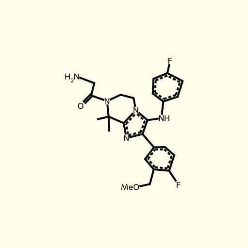 COCc1cc(-c2nc3n(c2Nc2ccc(F)cc2)CCN(C(=O)CN)C3(C)C)ccc1F